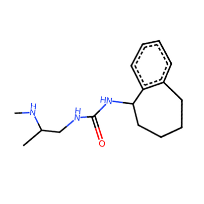 CNC(C)CNC(=O)NC1CCCCc2ccccc21